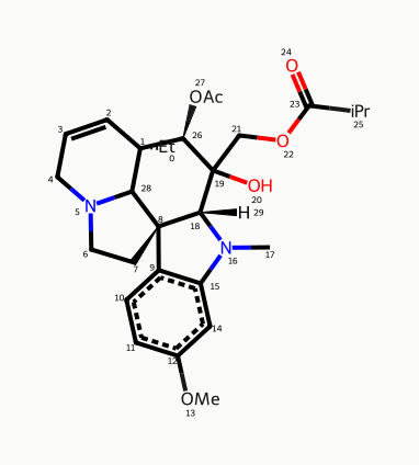 CC[C@]12C=CCN3CC[C@@]4(c5ccc(OC)cc5N(C)[C@H]4C(O)(COC(=O)C(C)C)[C@@H]1OC(C)=O)C32